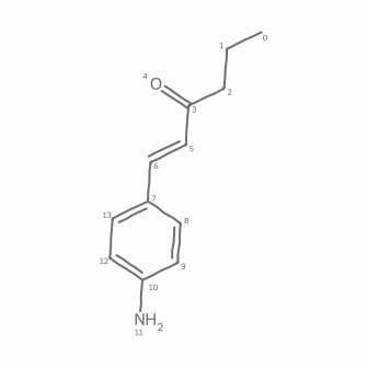 CCCC(=O)/C=C/c1ccc(N)cc1